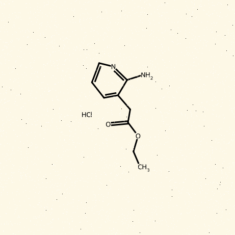 CCOC(=O)Cc1cccnc1N.Cl